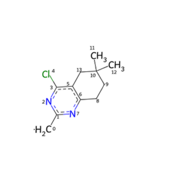 [CH2]c1nc(Cl)c2c(n1)CCC(C)(C)C2